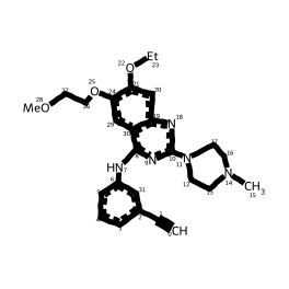 C#Cc1cccc(Nc2nc(N3CCN(C)CC3)nc3cc(OCC)c(OCCOC)cc23)c1